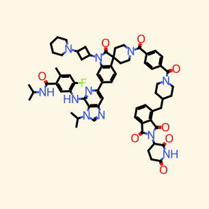 Cc1cc(F)c(Nc2nc(-c3ccc4c(c3)N(C3CC(N5CCCCC5)C3)C(=O)C43CCN(C(=O)c4ccc(C(=O)N5CCC(Cc6cccc7c6C(=O)N(C6CCC(=O)NC6=O)C7=O)CC5)cc4)CC3)cc3ncn(C(C)C)c23)cc1C(=O)NC(C)C